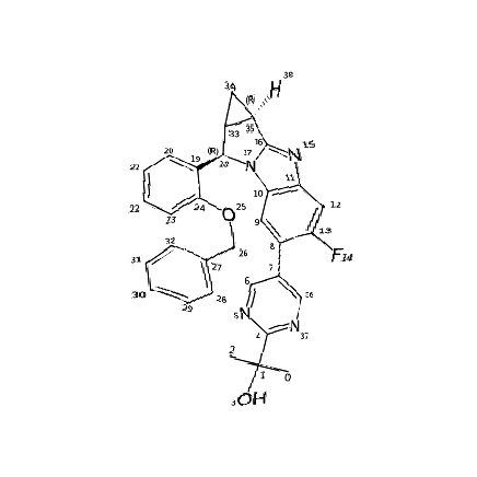 CC(C)(O)c1ncc(-c2cc3c(cc2F)nc2n3[C@@H](c3ccccc3OCc3ccccc3)C3C[C@@H]23)cn1